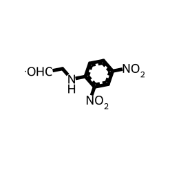 O=[C]CNc1ccc([N+](=O)[O-])cc1[N+](=O)[O-]